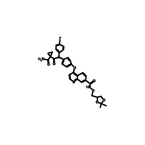 CC1(C)OCC(CONC(=O)c2ccc3c(Oc4ccc(N(C(=O)C5(C(N)=O)CC5)c5ccc(F)cc5)cc4)ccnc3c2)O1